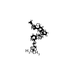 CC1(C)OC[C@H](COc2cc(NC(=O)N3c4nc(-c5cnn(C6CC6)c5)c(Cl)cc4N4CC[C@H]3C4)ccn2)O1